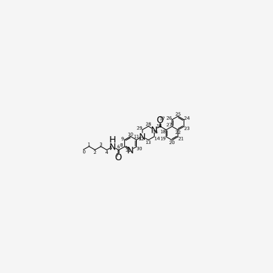 CCCCCNC(=O)c1ccc(N2CCN(C(=O)c3cccc4ccccc34)CC2)cn1